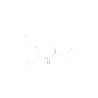 CCOC(=O)NC(C)CCBr